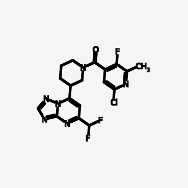 Cc1nc(Cl)cc(C(=O)N2CCCC(c3cc(C(F)F)nc4ncnn34)C2)c1F